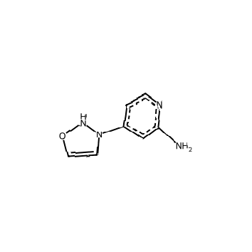 Nc1cc(N2C=CON2)ccn1